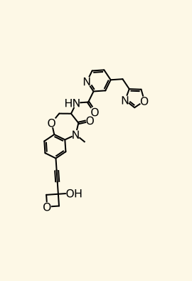 CN1C(=O)C(NC(=O)c2cc(Cc3cocn3)ccn2)COc2ccc(C#CC3(O)COC3)cc21